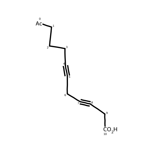 CC(=O)CCCC#CCC#CCC(=O)O